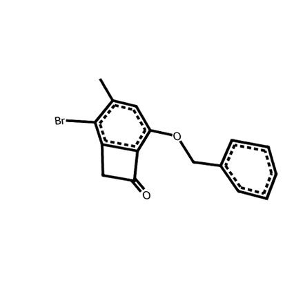 Cc1cc(OCc2ccccc2)c2c(c1Br)CC2=O